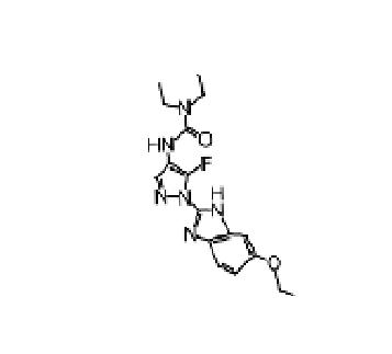 CCOc1ccc2nc(-n3ncc(NC(=O)N(CC)CC)c3F)[nH]c2c1